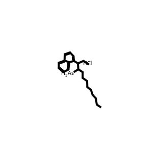 CCCCCCCCCC([AsH2])C(CC)c1cccc2ccccc12.Cl